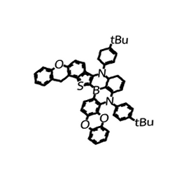 CC(C)(C)C1=CC=C(N2c3c(sc4c5c(ccc34)Oc3ccccc3C5)B3C4=C(C=CCC42)N(c2ccc(C(C)(C)C)cc2)c2c3ccc3c2Oc2ccccc2O3)CC1